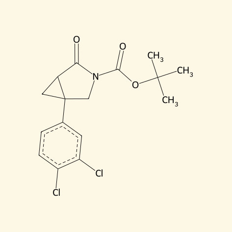 CC(C)(C)OC(=O)N1CC2(c3ccc(Cl)c(Cl)c3)CC2C1=O